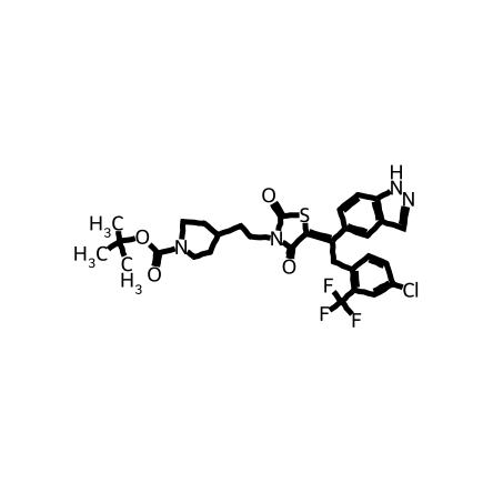 CC(C)(C)OC(=O)N1CCC(CCN2C(=O)S/C(=C(/Cc3ccc(Cl)cc3C(F)(F)F)c3ccc4[nH]ncc4c3)C2=O)CC1